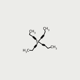 CCC#C[Si](C#CCC)(C#CCC)C#CCC